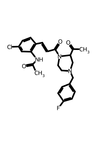 CC(=O)Nc1cc(Cl)ccc1C=CC(=O)N1CCN(Cc2ccc(F)cc2)CC1C(C)=O